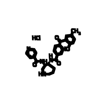 Cc1ccc(O)c(C(=O)c2ccc(C(=O)N[C@@H]3CCCNC[C@H]3NC(=O)c3ccncc3)cc2)c1.Cl